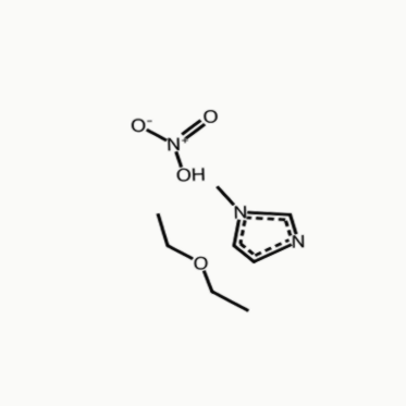 CCOCC.Cn1ccnc1.O=[N+]([O-])O